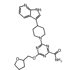 NC(=O)c1nc(OCC2CCCO2)nc(N2CCC(c3c[nH]c4ncccc34)CC2)n1